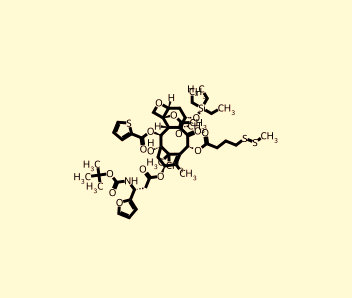 CC[Si](CC)(CC)O[C@H]1C[C@H]2OC[C@@]2(OC(C)=O)[C@H]2[C@H](OC(=O)c3cccs3)[C@]3(O)C[C@H](OC(=O)C[C@@H](NC(=O)OC(C)(C)C)c4ccco4)C(C)=C([C@@H](OC(=O)CCCSSC)C(=O)[C@]12C)C3(C)C